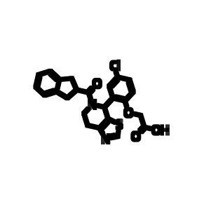 O=C(O)COc1ccc(Cl)cc1C1c2scnc2CCN1C(=O)C1Cc2ccccc2C1